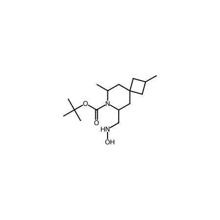 CC1CC2(C1)CC(C)N(C(=O)OC(C)(C)C)C(CNO)C2